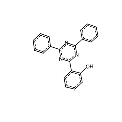 Oc1c[c]ccc1-c1nc(-c2ccccc2)nc(-c2ccccc2)n1